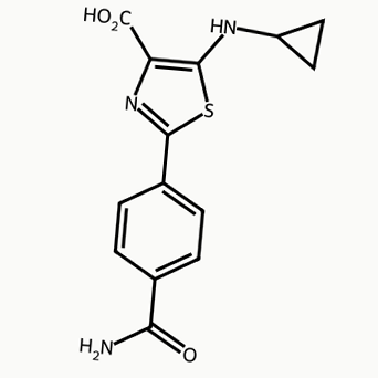 NC(=O)c1ccc(-c2nc(C(=O)O)c(NC3CC3)s2)cc1